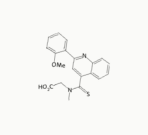 COc1ccccc1-c1cc(C(=S)N(C)CC(=O)O)c2ccccc2n1